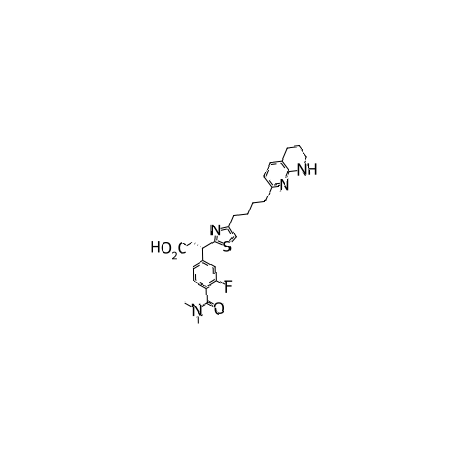 CN(C)C(=O)c1ccc([C@H](CC(=O)O)c2nc(CCCCc3ccc4c(n3)NCCC4)cs2)cc1F